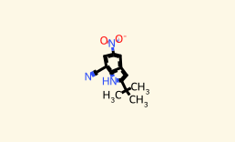 CC(C)(C)c1cc2cc([N+](=O)[O-])cc(C#N)c2[nH]1